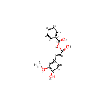 COc1cc(C=CC(=O)OC(=O)c2ccccc2)ccc1O